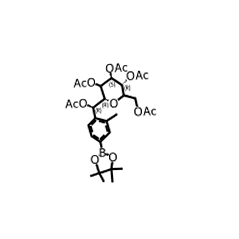 CC(=O)OCC1O[C@H]([C@H](OC(C)=O)c2ccc(B3OC(C)(C)C(C)(C)O3)cc2C)C(OC(C)=O)[C@@H](OC(C)=O)[C@@H]1OC(C)=O